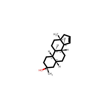 C[C@@]1(O)CC[C@H]2[C@H](CC[C@@H]3[C@@H]2CC[C@]2(C)CC=C[C@@H]32)C1